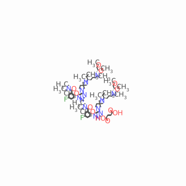 CCN(C(=O)c1cc(F)ccc1Oc1nncnc1N1CCC2(C1)CN([C@H](CCCN(C)C[C@H](COC)OC)C(C)C)C2)C(C)C.CCN(C(=O)c1cc(F)ccc1Oc1nncnc1N1CCC2(C1)CN([C@H](CCCN(C)C[C@H](COC)OC)C(C)C)C2)C(C)C.O=C(O)/C=C/C(=O)O